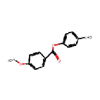 CCCCCCCCOc1ccc(C(=O)Oc2ccc(C=O)cc2)cc1